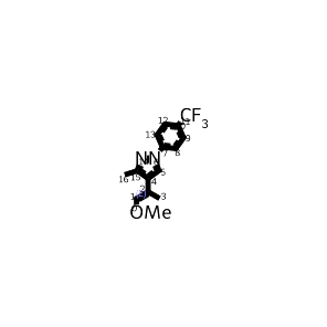 CO/C=C(\C)c1cn(-c2ccc(C(F)(F)F)cc2)nc1C